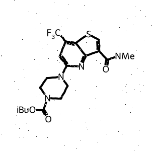 CNC(=O)c1csc2c(C(F)(F)F)cc(N3CCN(C(=O)OCC(C)C)CC3)nc12